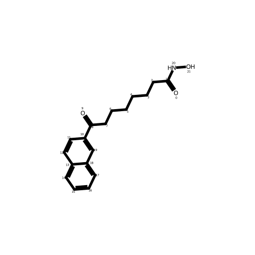 O=C(CCCCCCC(=O)c1ccc2ccccc2c1)NO